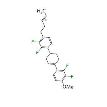 C/C=C/CCc1ccc(C2CC=C(c3ccc(OC)c(F)c3F)CC2)c(F)c1F